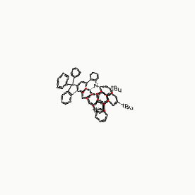 CC(C)(C)c1cc(-c2cccc3cccc(-c4ccccc4N(c4ccccc4-c4ccc5c(c4)C(c4ccccc4)(c4ccccc4)c4ccccc4-5)c4ccccc4-c4cccc5c4sc4ccccc45)c23)cc(C(C)(C)C)c1